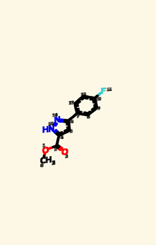 COC(=O)c1cc(-c2ccc(F)cc2)n[nH]1